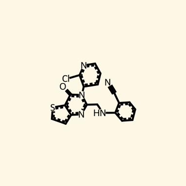 N#Cc1ccccc1NCc1nc2ccsc2c(=O)n1-c1cccnc1Cl